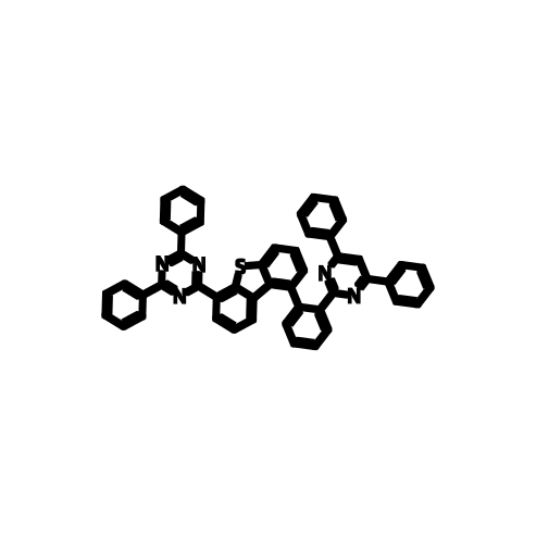 c1ccc(-c2cc(-c3ccccc3)nc(-c3ccccc3-c3cccc4sc5c(-c6nc(-c7ccccc7)nc(-c7ccccc7)n6)cccc5c34)n2)cc1